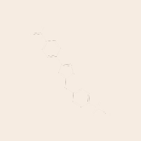 NS(=O)(=O)c1ccc(Nc2cc(-c3ccc([N+](=O)[O-])cc3)n[nH]2)cc1